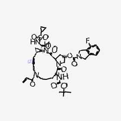 C=CC(=O)N1C/C=C\C2C[C@@]2(C(=O)NS(=O)(=O)C2CC2)NC(=O)C2C[C@@H](OC(=O)N3Cc4cccc(F)c4C3)CN2C(=O)[C@@H](NC(=O)OC(C)(C)C)CCC1